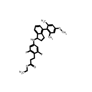 CCOC(=O)CCc1c(F)cc(NC2CCc3c(-c4c(C)cc(OC)cc4C)cccc32)cc1F